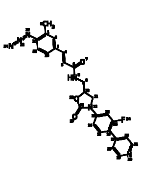 Cc1cc(/C=C/C(=O)NC[C@H]2CN(c3ccc(-c4ccncc4)c(F)c3)C(=O)O2)ccc1N=[N+]=[N-]